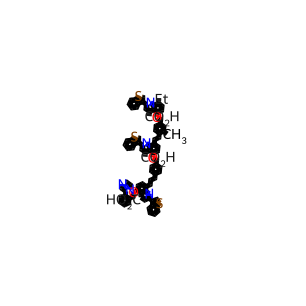 CCc1ccc(OCc2ccc(CCc3ccc(OCc4ccc(CCCc5ccc(OCc6ccccc6-c6cnccn6)c6c(C(=O)O)cc(-c7csc8ccccc78)nc56)cc4)c4c(C(=O)O)cc(-c5csc6ccccc56)nc34)c(C)c2)c2c(C(=O)O)cc(-c3csc4ccccc34)nc12